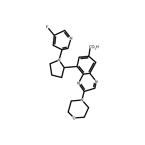 O=C(O)c1cc(C2CCCN2c2cncc(F)c2)c2nc(N3CCOCC3)cnc2c1